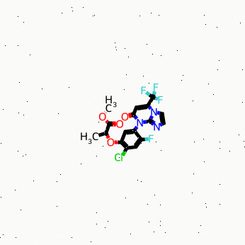 COC(=O)C(C)Oc1cc(-n2c(=O)cc(C(F)(F)F)n3ccnc23)c(F)cc1Cl